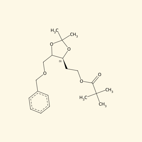 CC1(C)OC(COCc2ccccc2)[C@H](CCOC(=O)C(C)(C)C)O1